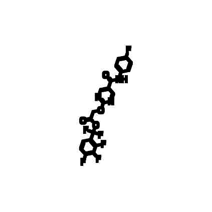 O=C(COc1ncc(C(=O)Nc2ccc(F)cc2)cn1)OC(F)(F)c1ccc(F)c(F)c1F